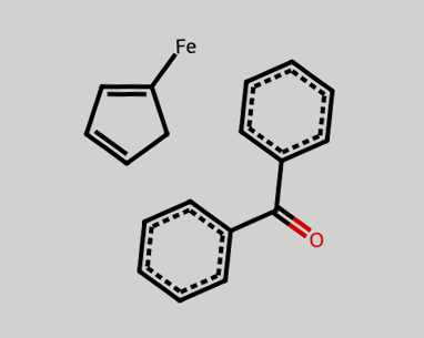 O=C(c1ccccc1)c1ccccc1.[Fe][C]1=CC=CC1